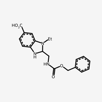 CCN1c2cc(C(=O)O)ccc2NC1CNC(=O)OCc1ccccc1